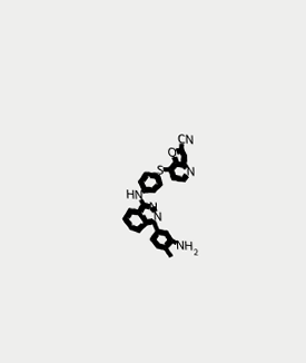 Cc1ccc(-c2nnc(Nc3ccc(Sc4ccnc5cc(C#N)oc45)cc3)c3ccccc23)cc1N